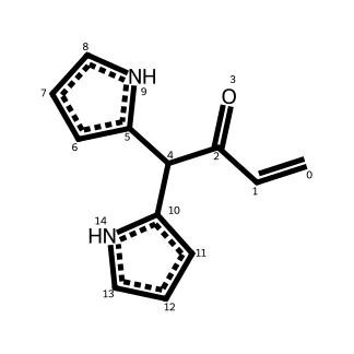 C=CC(=O)C(c1ccc[nH]1)c1ccc[nH]1